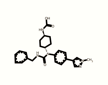 Cn1cc(-c2ccc(N(C(=O)NCc3ccccc3)[C@H]3CC[C@H](NC(=O)O)CC3)cc2)cn1